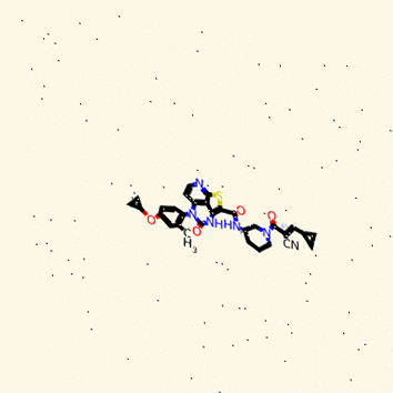 Cc1cc(OC2CC2)ccc1N1C(=O)Nc2c(C(=O)N[C@@H]3CCCN(C(=O)/C(C#N)=C/C4CC4)C3)sc3nccc1c23